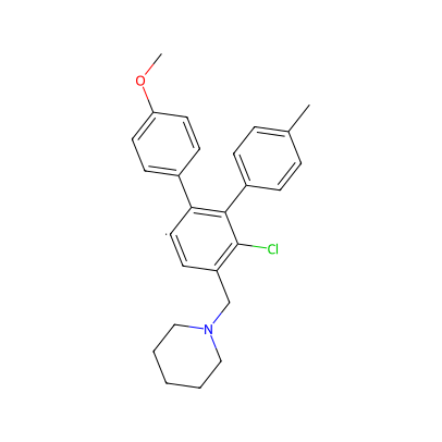 COc1ccc(-c2[c]cc(CN3CCCCC3)c(Cl)c2-c2ccc(C)cc2)cc1